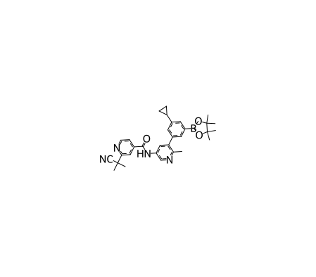 Cc1ncc(NC(=O)c2ccnc(C(C)(C)C#N)c2)cc1-c1cc(B2OC(C)(C)C(C)(C)O2)cc(C2CC2)c1